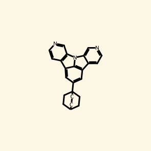 c1cc2c3cc(C45CCC(CC4)CC5)cc4c5ccncc5n(c2cn1)c34